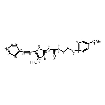 COc1ccc(OCCNC(=O)Nc2nc(C)c(C#Cc3ccncc3)s2)cc1